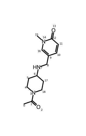 CC(=O)N1CCC(NCc2ccc(=O)n(C)c2)CC1